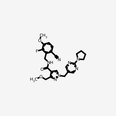 COCc1nn(Cc2cnc(N3CCCC3)nc2)cc1C(=O)NCc1c(C#N)ccc(OC)c1F